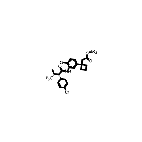 C[C@H]([C@H](C(=O)Nc1cc(C2(CC(=O)OC(C)(C)C)CCC2)ccc1Cl)C1C=CC(Cl)=CC1)C(F)(F)F